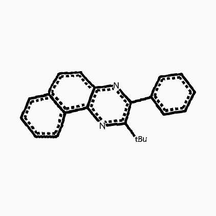 CC(C)(C)c1nc2c(ccc3ccccc32)nc1-c1ccccc1